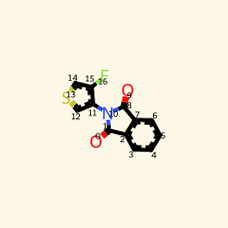 O=C1c2ccccc2C(=O)N1c1cscc1F